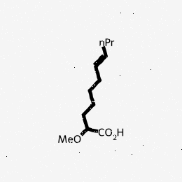 CCCC=CCCCCC(OC)C(=O)O